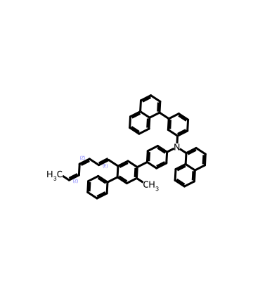 C\C=C/C=C\C=C\c1cc(-c2ccc(N(c3cccc(-c4cccc5ccccc45)c3)c3cccc4ccccc34)cc2)c(C)cc1-c1ccccc1